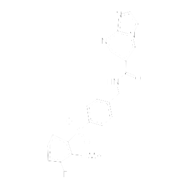 COc1c(F)cccc1S(=O)(=O)c1ccc(CNC(=O)c2cnc3nccn3c2)cc1